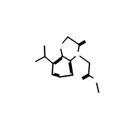 COC(=O)CN1C(=O)COc2c(C(C)C)cccc21